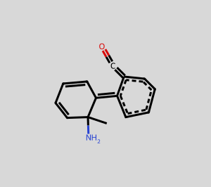 CC1(N)C=CC=CC1=c1ccccc1=C=O